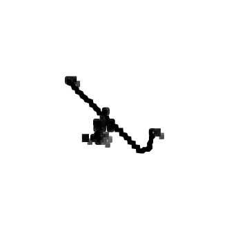 CCCCC/C=C\C/C=C\CCCCCCCCCCCC(=O)O[C@H](COC(=O)CCCCCCCCCCCCCCCC)COP(=O)([O-])OCC[N+](C)(C)C